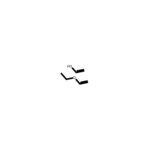 C=CO.C=COCC